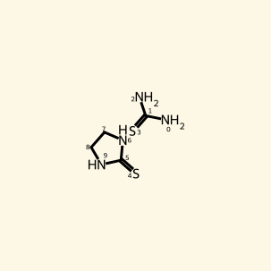 NC(N)=S.S=C1NCCN1